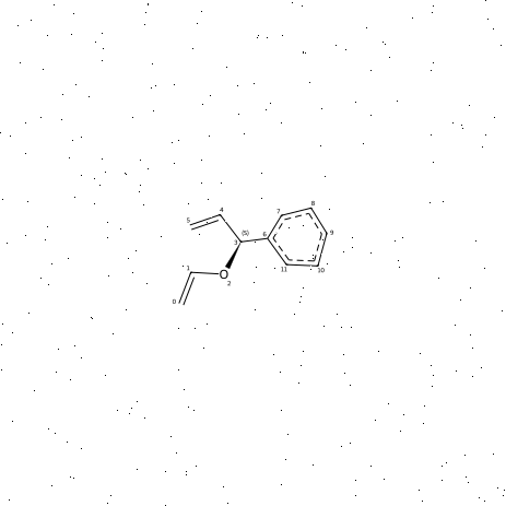 C=CO[C@@H](C=C)c1ccccc1